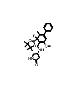 COC1=C(CN[C@@H]2CNC(=O)C2)C(F)(B2OC(C)(C)C(C)(C)O2)C(C)C(c2ccccc2)=C1